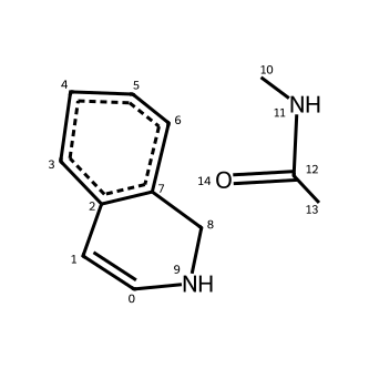 C1=Cc2ccccc2CN1.CNC(C)=O